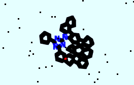 c1ccc(-c2nc(-c3ccccc3)nc(-n3c4cc5c(cc4c4c6ccccc6ccc43)-c3ccccc3C53c4ccccc4C4(c5ccccc5-c5ccccc54)c4ccccc43)n2)cc1